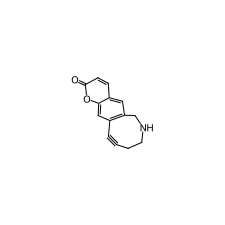 O=c1ccc2cc3c(cc2o1)C#CCCNC3